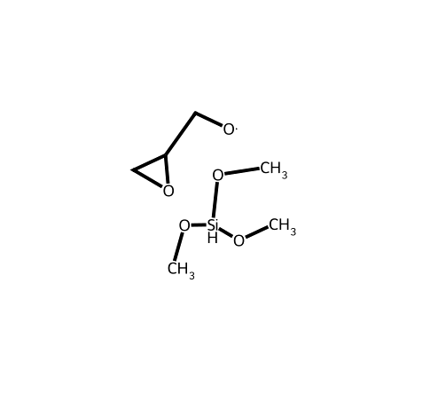 CO[SiH](OC)OC.[O]CC1CO1